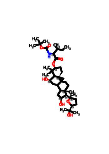 CCC(C)[C@H](NC(=O)OC(C)(C)C)C(=O)O[C@H]1CC[C@]23CC24CC[C@@]2(C)C(C[C@H](O)[C@@H]2[C@@]2(C)CC[C@@H](C(C)(C)O)O2)C4C[C@H](O)C3C1(C)C